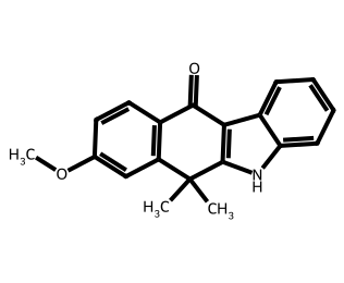 COc1ccc2c(c1)C(C)(C)c1[nH]c3ccccc3c1C2=O